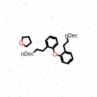 C1CCOC1.CCCCCCCCCCCCc1ccccc1Oc1ccccc1CCCCCCCCCCCC